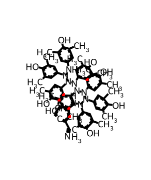 Cc1cc(NN(c2cc(C)c(O)c(C)c2)N(c2cc(C)c(O)c(C)c2)N(c2cc(C)c(O)c(C)c2)N(c2cc(C)c(O)c(C)c2)N(c2cc(C)c(O)c(C)c2)N(c2cc(C)c(O)c(C)c2)N(Nc2cccc(C#N)c2)c2cc(C)c(O)c(C)c2)cc(C)c1O